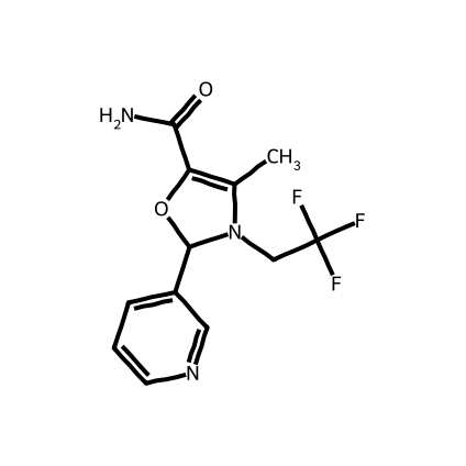 CC1=C(C(N)=O)OC(c2cccnc2)N1CC(F)(F)F